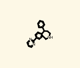 c1ccc(C2CCNCc3cc(-c4ncccn4)ccc32)cc1